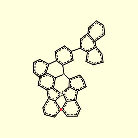 c1ccc(-c2ccc(-c3cc4ccccc4c4ccccc34)cc2N(c2cccc3c2oc2ccccc23)c2cccc3c2sc2ccccc23)cc1